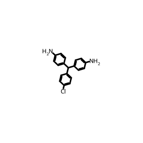 Nc1ccc(C(c2ccc(N)cc2)c2ccc(Cl)cc2)cc1